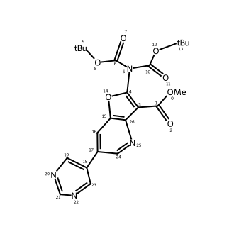 COC(=O)c1c(N(C(=O)OC(C)(C)C)C(=O)OC(C)(C)C)oc2cc(-c3cncnc3)cnc12